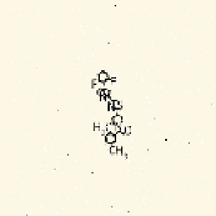 Cc1ccc(C)c(C(C=O)N2CCC(c3nc(C4=NOC(c5c(F)cccc5F)C4)cs3)CC2)c1